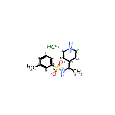 Cc1cccc(S(=O)(=O)NC(C)C2CCNCC2)c1.Cl